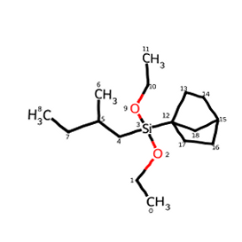 CCO[Si](CC(C)CC)(OCC)C12CCC(CC1)C2